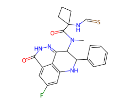 CN(C(=O)C1(NC=S)CCC1)C1c2n[nH]c(=O)c3cc(F)cc(c23)NC1c1ccccc1